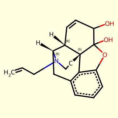 C=CCN1CC[C@]23c4c5cccc4OC2(O)C(O)C=C[C@H]3[C@H]1C5